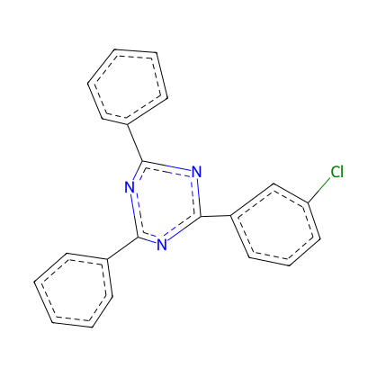 Clc1cccc(-c2nc(-c3ccccc3)nc(-c3ccccc3)n2)c1